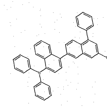 Fc1cc(-c2ccccc2)c2ccc(-c3ccc(N(c4ccccc4)c4ccccc4)c4ccccc34)cc2c1